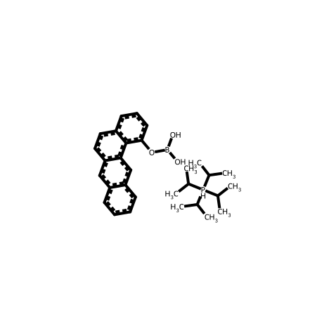 CC(C)[PH](C(C)C)(C(C)C)C(C)C.OB(O)Oc1cccc2ccc3cc4ccccc4cc3c12